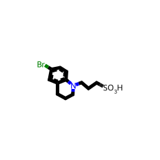 O=S(=O)(O)CCCN1CCCc2cc(Br)ccc21